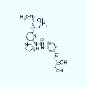 C=C/C(=C\C(C)=N/C)c1ccc2c(n1)N(C(=O)Nc1cc(OC[C@@H](O)CO)ccn1)[C@H]1CCN2C1